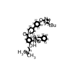 CN(C)CCOc1ccc(C(=O)N2CCC(c3ccc(Oc4nnc(C(C)(C)C)s4)cc3)CC2)cc1NS(=O)(=O)Cc1ccccc1